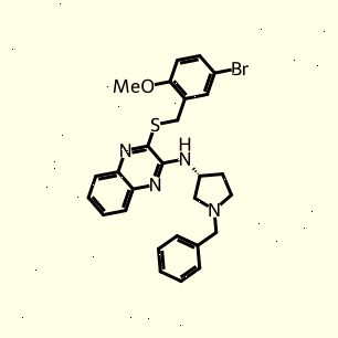 COc1ccc(Br)cc1CSc1nc2ccccc2nc1N[C@@H]1CCN(Cc2ccccc2)C1